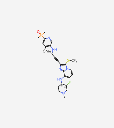 COc1cc(P(C)(C)=O)ncc1NCC#Cc1nc2c(N[C@@H]3CCN(C)C[C@@H]3F)cccn2c1SC(F)(F)F